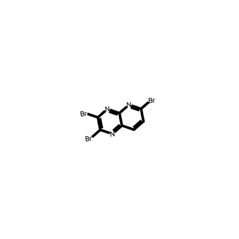 Brc1ccc2nc(Br)c(Br)nc2n1